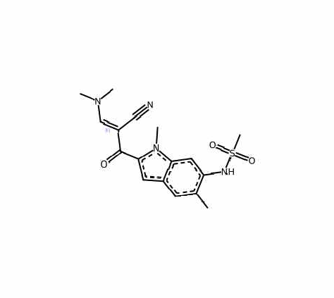 Cc1cc2cc(C(=O)/C(C#N)=C/N(C)C)n(C)c2cc1NS(C)(=O)=O